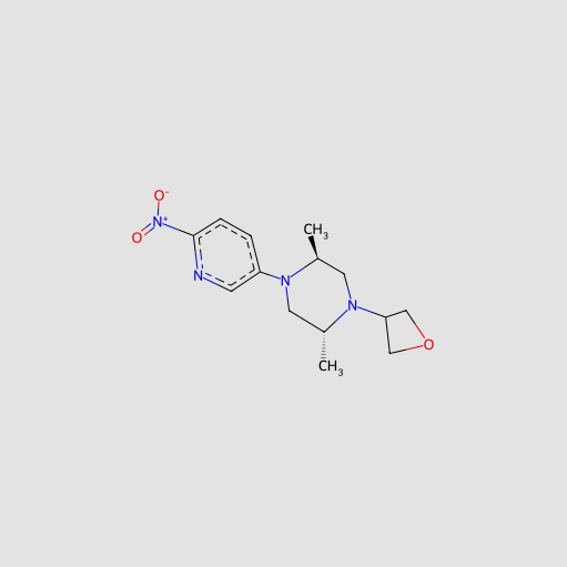 C[C@@H]1CN(c2ccc([N+](=O)[O-])nc2)[C@@H](C)CN1C1COC1